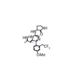 COc1ccc(C2=NN=C(NC3CCNC3=O)N/C2=C\C(C)=N)c(CC(F)(F)F)c1